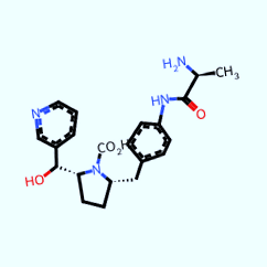 C[C@H](N)C(=O)Nc1ccc(C[C@@H]2CC[C@H](C(O)c3cccnc3)N2C(=O)O)cc1